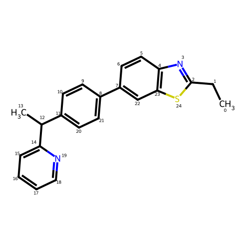 CCc1nc2ccc(-c3ccc(C(C)c4ccccn4)cc3)cc2s1